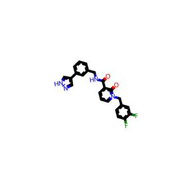 O=C(NCc1cccc(-c2cn[nH]c2)c1)c1cccn(Cc2ccc(F)c(F)c2)c1=O